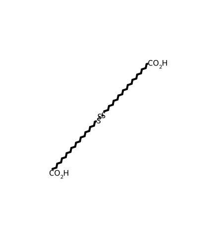 O=C(O)CCCCCCCCCCCCCCCCCCCSSSCCCCCCCCCCCCCCCCCCCC(=O)O